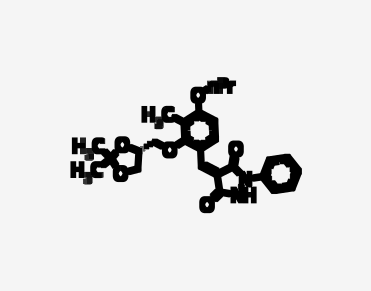 CCCOc1ccc(/C=C2/C(=O)NN(c3ccccc3)C2=O)c(OC[C@@H]2COC(C)(C)O2)c1C